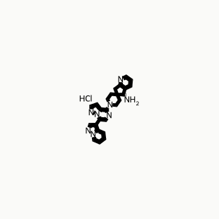 Cl.N[C@@H]1c2cccnc2CC12CCN(c1ncc(-c3cnn4ccccc34)n3nccc13)CC2